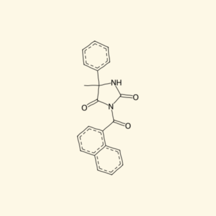 CC1(c2ccccc2)NC(=O)N(C(=O)c2cccc3ccccc23)C1=O